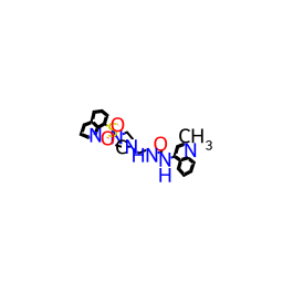 Cc1cc(NC(=O)NCCN2CCN(S(=O)(=O)c3cccc4cccnc34)CC2)c2ccccc2n1